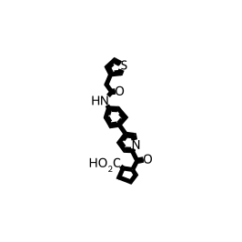 O=C(Cc1ccsc1)Nc1ccc(-c2ccc(C(=O)C3CCCC3C(=O)O)nc2)cc1